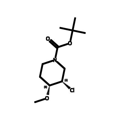 CO[C@@H]1CCN(C(=O)OC(C)(C)C)C[C@@H]1Cl